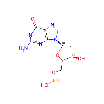 Nc1nc2c(ncn2[C@H]2C[C@@H](O)C(COPO)O2)c(=O)[nH]1